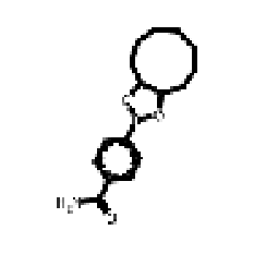 NC(=O)c1ccc(B2OC3CCCCCCCC3O2)cc1